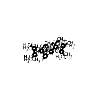 CC(C)(C)CC(C)(C)c1cc(C2=CC(F)=CCC2(O)OCCCOc2c(F)cccc2C2=CC(F)(C(C)(C)CC(C)(C)C)CC(n3c4ccc(C(C)(C)C)cc4c4cc(C(C)(C)C)ccc43)=C2O)cc(-n2c3ccc(C(C)(C)C)cc3c3cc(C(C)(C)C)ccc32)c1